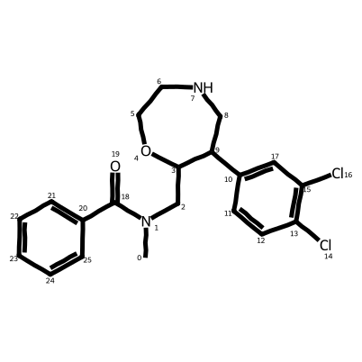 CN(CC1OCCNCC1c1ccc(Cl)c(Cl)c1)C(=O)c1ccccc1